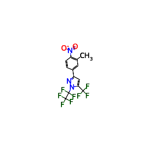 Cc1cc(-c2cc(C(F)(F)F)n(C(F)(F)C(F)(F)F)n2)ccc1[N+](=O)[O-]